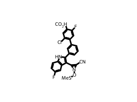 CSON1C(C#N)=C1c1c(-c2cccc(-c3cc(F)c(C(=O)O)cc3Cl)c2)[nH]c2ccc(F)cc12